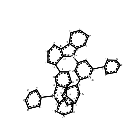 c1ccc(-c2cc(-n3c4ccccc4c4cccc(-c5ccc6c7cccnc7n(-c7ccccc7)c6c5)c43)cc(-c3ccccc3)n2)cc1